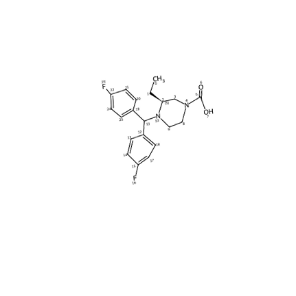 CC[C@H]1CN(C(=O)O)CCN1C(c1ccc(F)cc1)c1ccc(F)cc1